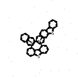 c1ccc(N(c2ccccc2)c2cccc3sc4cccc(N(c5ccccc5)c5ccc6c(c5)sc5ccccc56)c4c23)cc1